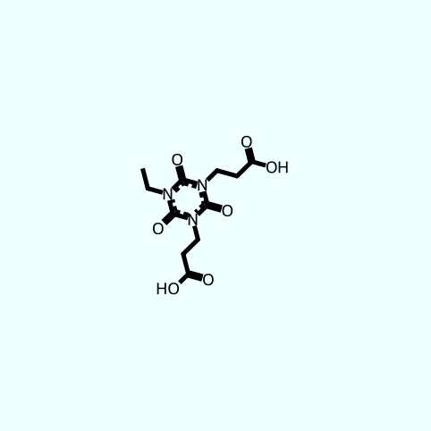 CCn1c(=O)n(CCC(=O)O)c(=O)n(CCC(=O)O)c1=O